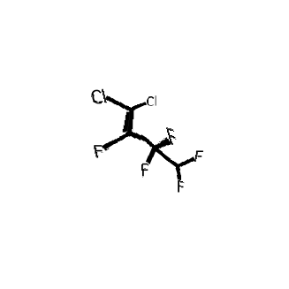 FC(=C(Cl)Cl)C(F)(F)C(F)F